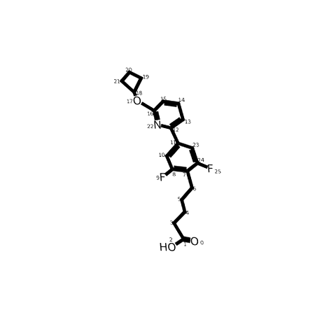 O=C(O)CCCCc1c(F)cc(-c2cccc(OC3CCC3)n2)cc1F